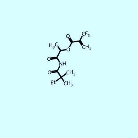 C=C(C(=O)OC(C)C(=O)NC(=O)C(C)(C)CC)C(F)(F)F